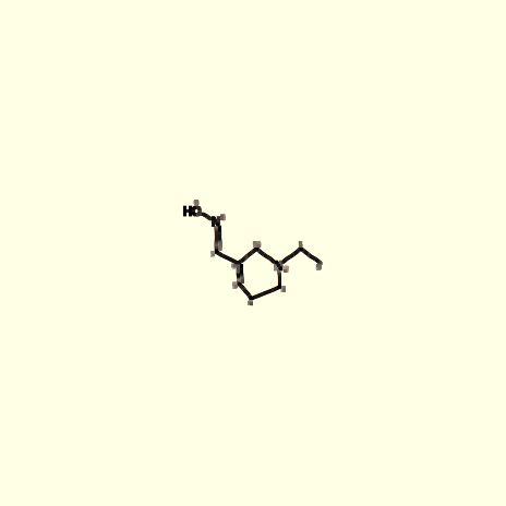 CCN1CCC=C(C=NO)C1